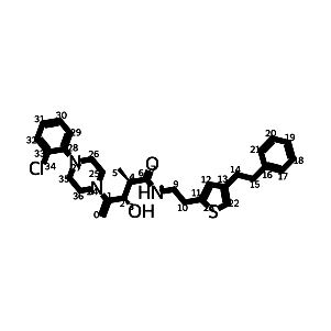 C=C([C@H](O)[C@@H](C)C(=O)NCCc1cc(CCc2ccccc2)cs1)N1CCN(c2ccccc2Cl)CC1